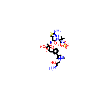 C[n+]1cc(-c2ccc3c(c2)CCC(C(C)(O/N=C(\C(=O)NC2C(=O)N(OS(=O)(=O)[O-])C2(C)C)c2csc(N)n2)C(=O)O)O3)cn1CC(O)CN